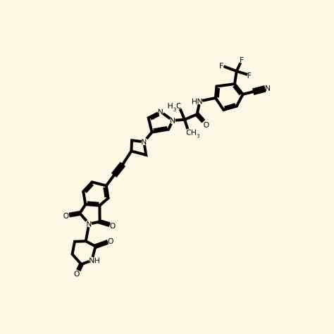 CC(C)(C(=O)Nc1ccc(C#N)c(C(F)(F)F)c1)n1cc(N2CC(C#Cc3ccc4c(c3)C(=O)N(C3CCC(=O)NC3=O)C4=O)C2)cn1